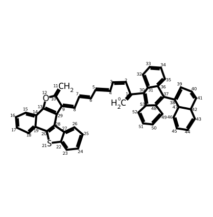 C=C(\C=C/C=C/C=C/C=c1\c(=C)oc2c3ccccc3c3sc4ccccc4c3c12)c1c2ccccc2c(C2=CC=CC3C=CC=CC23)c2ccccc12